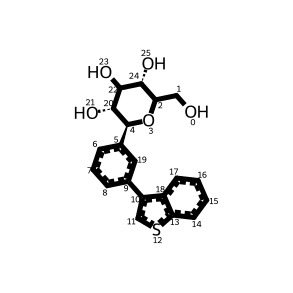 OCC1O[C@@H](c2cccc(-c3csc4ccccc34)c2)[C@H](O)C(O)[C@@H]1O